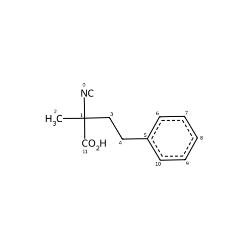 [C-]#[N+]C(C)(CCc1ccccc1)C(=O)O